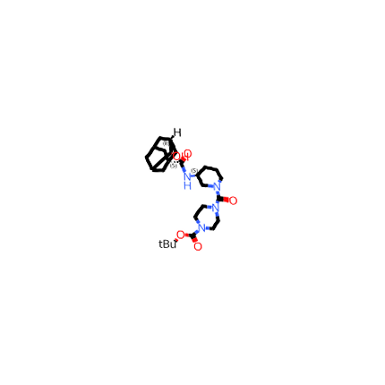 CC(C)(C)OC(=O)N1CCN(C(=O)N2CCC[C@H](NC(=O)[C@@]34CC5CC(C3)C(O)[C@H](C5)C4)C2)CC1